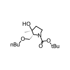 CCCCOC[C@H]1N(C(=O)OC(C)(C)C)CC[C@]1(C)O